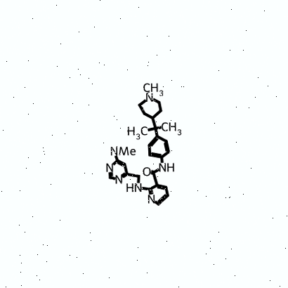 CNc1cc(CNc2ncccc2C(=O)Nc2ccc(C(C)(C)C3CCN(C)CC3)cc2)ncn1